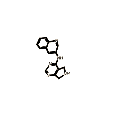 c1ccc2ncc(Nc3ncnc4c3CNC4)cc2c1